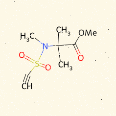 C#CS(=O)(=O)N(C)C(C)(C)C(=O)OC